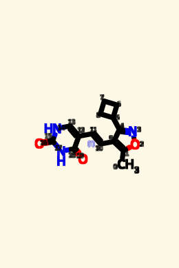 Cc1onc(C2CCC2)c1/C=C/c1c[nH]c(=O)[nH]c1=O